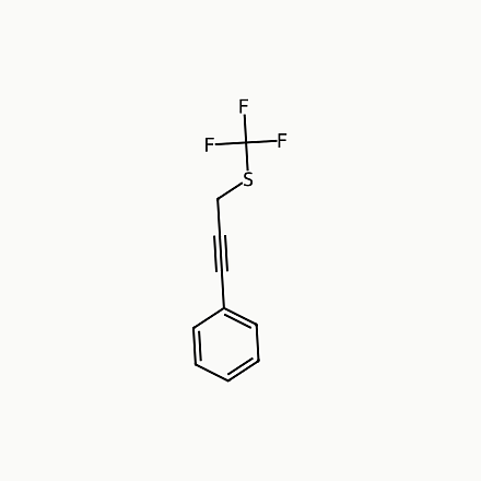 FC(F)(F)SCC#Cc1ccccc1